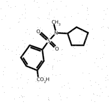 CN(C1CCCC1)S(=O)(=O)c1cccc(C(=O)O)c1